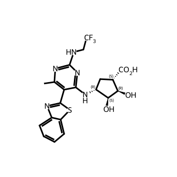 Cc1nc(NCC(F)(F)F)nc(N[C@@H]2C[C@H](C(=O)O)[C@@H](O)[C@H]2O)c1-c1nc2ccccc2s1